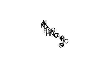 O=C(NCc1ccn2ccnc2c1)Nc1ccc([C@@H]2CCN(C(=O)c3ccoc3)C2)cc1